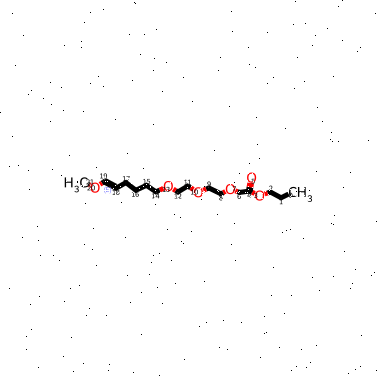 CCCOC(=O)COCCOCCOCCCC/C=C/OC